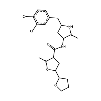 CN1NC(Cc2ccc(Cl)c(Cl)c2)CC1NC(=O)C1CC(C2CCCO2)ON1C